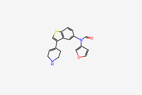 O=CN(c1ccoc1)c1ccc2scc(C3=CCNCC3)c2c1